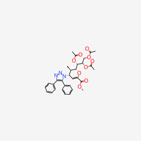 COC(=O)C1=C[C@H](n2nnc(-c3ccccc3)c2-c2ccccc2)[C@@H](C)[C@H]([C@H](OC(C)=O)C(COC(C)=O)OC(C)=O)O1